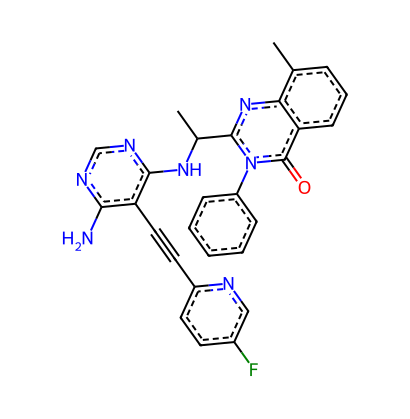 Cc1cccc2c(=O)n(-c3ccccc3)c(C(C)Nc3ncnc(N)c3C#Cc3ccc(F)cn3)nc12